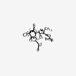 Cn1nc(-c2c(F)cc(Cl)c(=O)n2CCC=O)c(Cl)c1OC(F)F